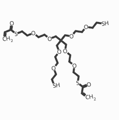 C=CC(=O)SCCOCCOCC(COCCOCCS)(COCCOCCS)COCCOCCSC(=O)C=C